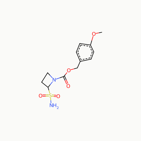 COc1ccc(COC(=O)N2CCC2S(N)(=O)=O)cc1